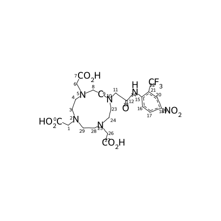 O=C(O)CN1CCN(CC(=O)O)CCN(CC(=O)Nc2ccc([N+](=O)[O-])cc2C(F)(F)F)CCN(CC(=O)O)CC1